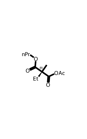 CCCOC(=O)[C@@](C)(CC)C(=O)OC(C)=O